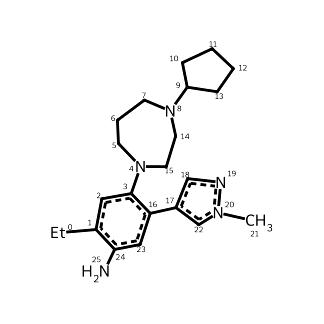 CCc1cc(N2CCCN(C3CCCC3)CC2)c(-c2cnn(C)c2)cc1N